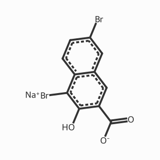 O=C([O-])c1cc2cc(Br)ccc2c(Br)c1O.[Na+]